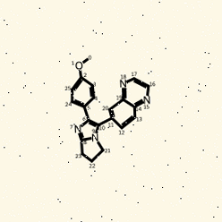 COc1ccc(-c2nc3n(c2-c2ccc4nccnc4c2)CCC3)cc1